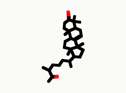 CC(=O)C(C)CCCC(C)C1CCC2(C)C3=CCC4C(C)(C)C(=O)CCC4(C)C3CCC12C